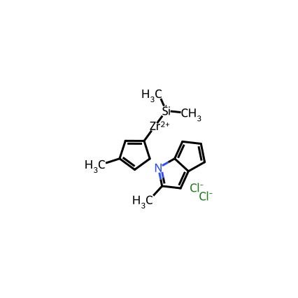 CC1=CC[C]([Zr+2][Si](C)C)=C1.CC1=NC2=CC=CC2=C1.[Cl-].[Cl-]